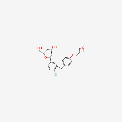 OCC1CC(O)CC(c2ccc(Cl)c(Cc3ccc(OCC4COC4)cc3)c2)O1